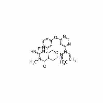 C=CN(/N=C\C)c1cc(Oc2ccc(F)c(C34COCCC3C(=O)N(C)C(=N)N4)c2)ncn1